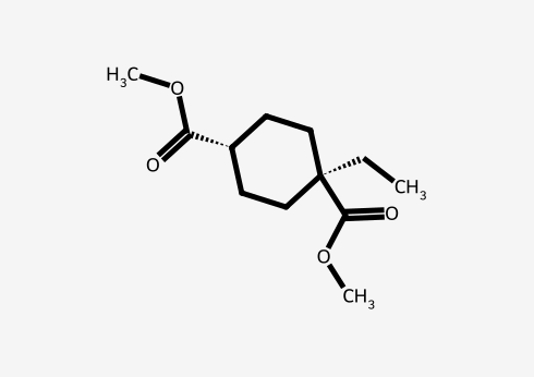 CC[C@]1(C(=O)OC)CC[C@H](C(=O)OC)CC1